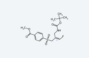 COC(=O)c1ccc(S(=O)(=O)C/C(=C/F)CNC(=O)OC(C)(C)C)cc1